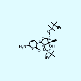 C#C[C@@]1(O)[C@@H](CO[Si](C)(C)C(C)(C)C(C)C)O[C@H](n2ccc(N)nc2=O)[C@@H]1O[Si](C)(C)C(C)(C)C(C)C